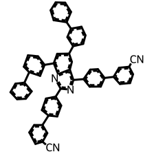 N#Cc1cccc(-c2ccc(-c3nc(-c4ccc(-c5cccc(C#N)c5)cc4)c4cc(-c5cccc(-c6ccccc6)c5)cc(-c5cccc(-c6ccccc6)c5)c4n3)cc2)c1